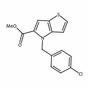 COC(=O)c1cc2sccc2n1Cc1ccc(Cl)cc1